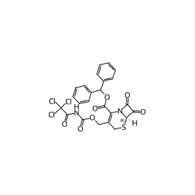 O=C(NC(=O)C(Cl)(Cl)Cl)OCC1=C(C(=O)OC(c2ccccc2)c2ccccc2)N2C(=O)C(=O)[C@H]2SC1